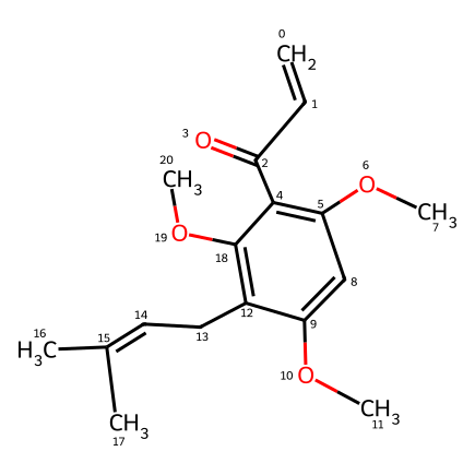 C=CC(=O)c1c(OC)cc(OC)c(CC=C(C)C)c1OC